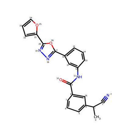 CC(C#N)c1cccc(C(=O)Nc2cccc(-c3nnc(-c4ccco4)o3)c2)c1